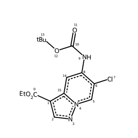 CCOC(=O)c1cnn2cc(Cl)c(NC(=O)OC(C)(C)C)cc12